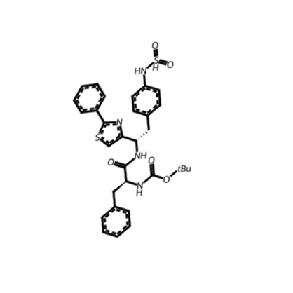 CC(C)(C)OC(=O)N[C@@H](Cc1ccccc1)C(=O)N[C@@H](Cc1ccc(N[SH](=O)=O)cc1)c1csc(-c2ccccc2)n1